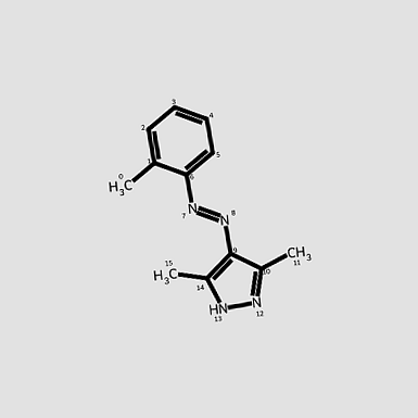 Cc1ccccc1N=Nc1c(C)n[nH]c1C